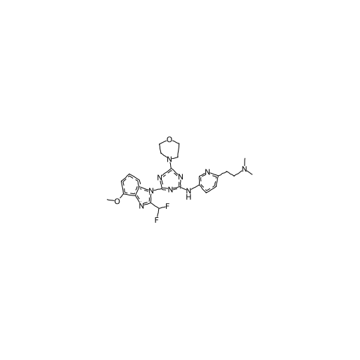 COc1cccc2c1nc(C(F)F)n2-c1nc(Nc2ccc(CCN(C)C)nc2)nc(N2CCOCC2)n1